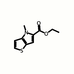 CCOC(=O)c1cc2sccc2n1C